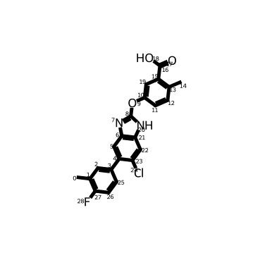 Cc1cc(-c2cc3nc(Oc4ccc(C)c(C(=O)O)c4)[nH]c3cc2Cl)ccc1F